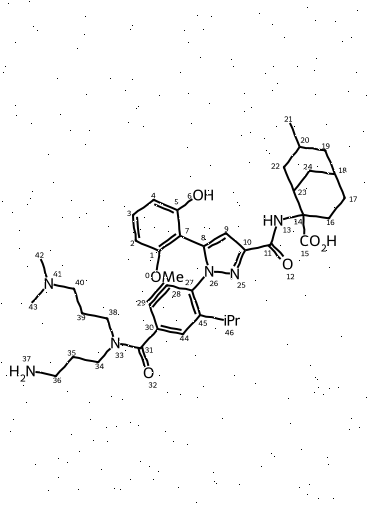 COc1cccc(O)c1-c1cc(C(=O)NC2(C(=O)O)CCC3CC(C)CC2C3)nn1-c1c#cc(C(=O)N(CCCN)CCCN(C)C)cc1C(C)C